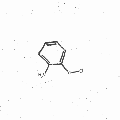 Nc1ccccc1OCl